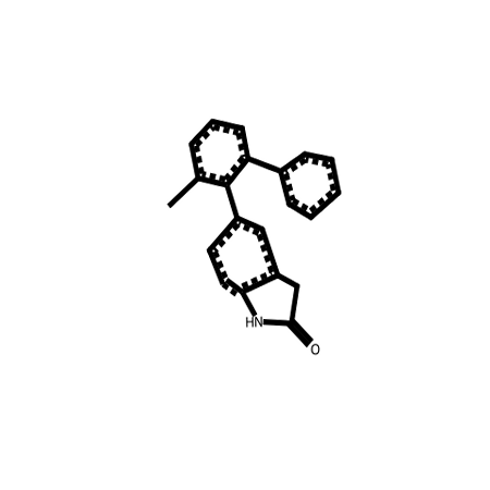 Cc1cccc(-c2ccccc2)c1-c1ccc2c(c1)CC(=O)N2